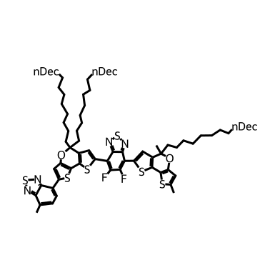 CCCCCCCCCCCCCCCCCCC1(C)Oc2cc(C)sc2-c2sc(-c3c(F)c(F)c(-c4cc5c(s4)-c4sc(-c6ccc(C)c7nsnc67)cc4OC5(CCCCCCCCCCCCCCCCCC)CCCCCCCCCCCCCCCCCC)c4nsnc34)cc21